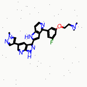 CN(C)CCOc1cc(F)cc(-c2nccc3[nH]c(-c4n[nH]c5ncc(-c6cnn(C)c6)cc45)cc23)c1